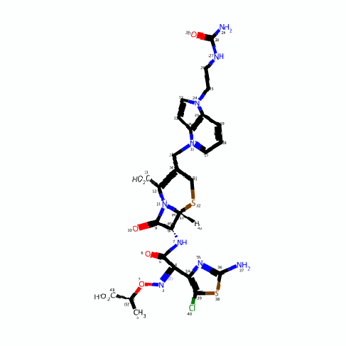 C[C@H](O/N=C(\C(=O)N[C@@H]1C(=O)N2C(C(=O)O)=C(C[n+]3cccc4c3ccn4CCNC(N)=O)CS[C@H]12)c1nc(N)sc1Cl)C(=O)O